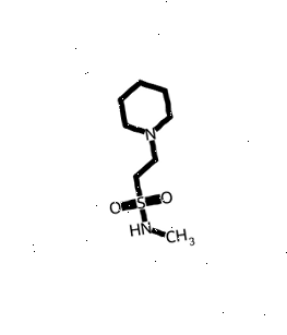 CNS(=O)(=O)CCN1CCCCC1